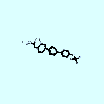 CC(C)CC1CCC(c2ccc(-c3ccc(OC(F)(F)F)cc3)cc2)CC1